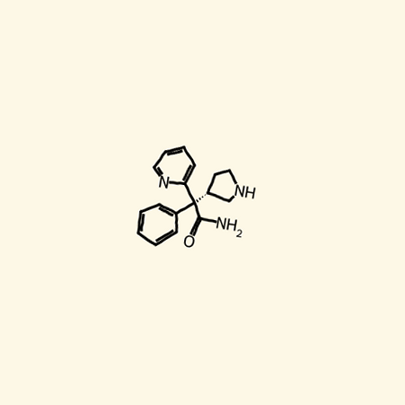 NC(=O)C(c1ccccc1)(c1ccccn1)[C@@H]1CCNC1